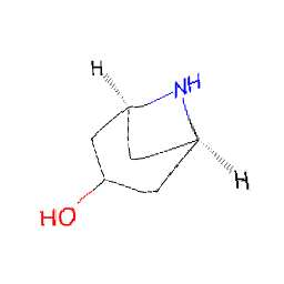 OC1C[C@@H]2C[C@H](C1)N2